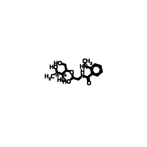 CNc1ccccc1C(=O)NCC(O)OC(CO)[C@@H](O)[C@H](C)O